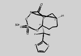 O=C1N2OS(=O)(=O)O[C@]3(C(F)(F)c4nccs4)CC[C@@H]2CN13.[Na]